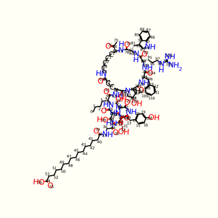 CCCC[C@H](NC(=O)[C@@H](NC(=O)[C@H](Cc1ccc(O)cc1)NC(=O)[C@H](CO)NC(=O)[C@H](CO)NC(=O)CNC(=O)CCCCCCCCCCCCCCC(=O)O)[C@@H](C)O)C(=O)N[C@H]1CCC(=O)NCCCC[C@@H](C(C)=O)NC(=O)[C@H](Cc2c[nH]c3ccccc23)NC(=O)[C@H](CCCNC(=N)N)NC(=O)[C@@H](Cc2ccccc2)NC(=O)[C@@H]2C[C@@H](O)CN2C1=O